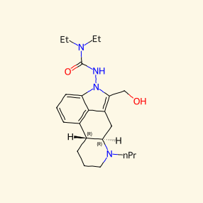 CCCN1CCC[C@@H]2c3cccc4c3c(c(CO)n4NC(=O)N(CC)CC)C[C@H]21